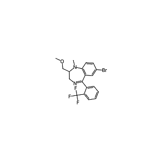 COCC1CN=C(c2ccccc2C(F)(F)F)c2cc(Br)ccc2N1C